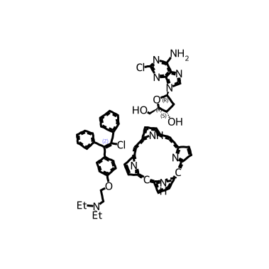 C1=Cc2cc3ccc(cc4nc(cc5ccc(cc1n2)[nH]5)C=C4)[nH]3.CCN(CC)CCOc1ccc(/C(=C(\Cl)c2ccccc2)c2ccccc2)cc1.Nc1nc(Cl)nc2c1ncn2[C@H]1C[C@H](O)[C@@H](CO)O1